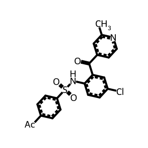 CC(=O)c1ccc(S(=O)(=O)Nc2ccc(Cl)cc2C(=O)c2ccnc(C)c2)cc1